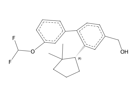 CC1(C)CCC[C@H]1c1cc(CO)ccc1-c1cccc(OC(F)F)c1